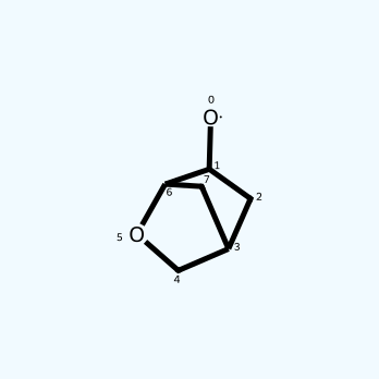 [O]C1CC2COC1C2